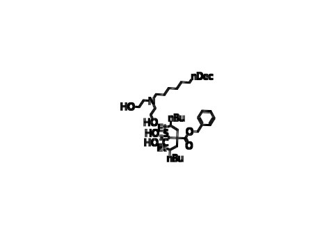 CCCCC(CC)CC(CC(CC)CCCC)(C(=O)OCc1ccccc1)C(C(=O)O)S(=O)(=O)O.CCCCCCCCCCCCCCCCN(CCO)CCO